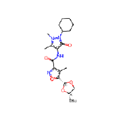 Cc1c(C(=O)Nc2c(C)n(C)n(C3CCCCC3)c2=O)noc1[C@@H]1OC[C@H](C(C)(C)C)O1